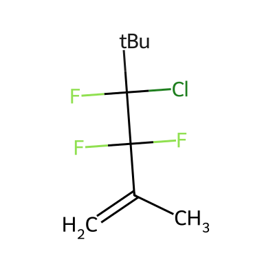 C=C(C)C(F)(F)C(F)(Cl)C(C)(C)C